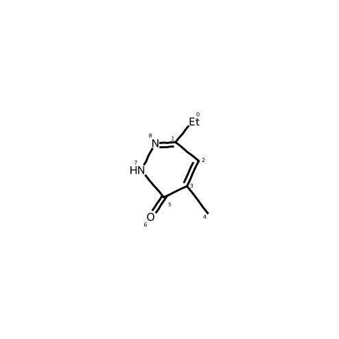 CCc1cc(C)c(=O)[nH]n1